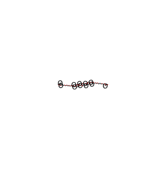 C=CC(=O)CCCCCCCCCCCC(=O)Oc1ccc(C(=O)Oc2ccc(OC(=O)c3ccc(OC(=O)CCCCCCCCCCOC(=O)C=C)cc3)cc2)cc1